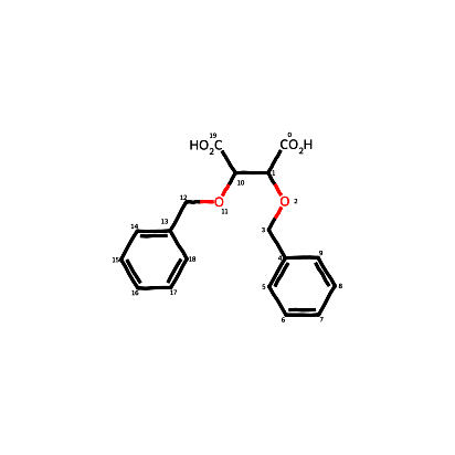 O=C(O)C(OCc1ccccc1)C(OCc1ccccc1)C(=O)O